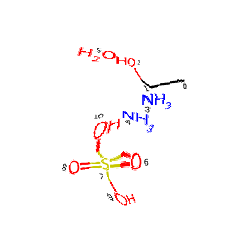 CCO.N.N.O.O=S(=O)(O)O